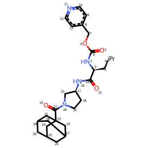 CC(C)C[C@H](NC(=O)OCc1ccncc1)C(=O)N[C@H]1CCN(C(=O)C23CC4CC(CC(C4)C2)C3)C1